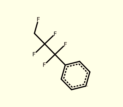 FCC(F)(F)C(F)(F)c1cc[c]cc1